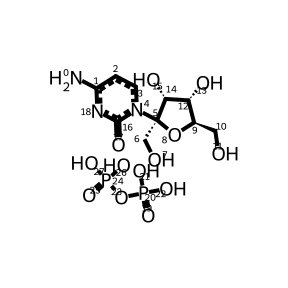 Nc1ccn([C@]2(CO)O[C@H](CO)[C@@H](O)[C@H]2O)c(=O)n1.O=P(O)(O)OP(=O)(O)O